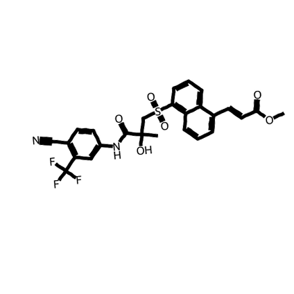 COC(=O)/C=C/c1cccc2c(S(=O)(=O)CC(C)(O)C(=O)Nc3ccc(C#N)c(C(F)(F)F)c3)cccc12